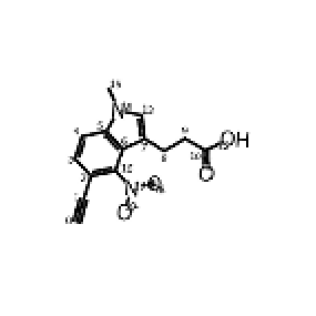 C#Cc1ccc2c(c(CCC(=O)O)cn2C)c1[N+](=O)[O-]